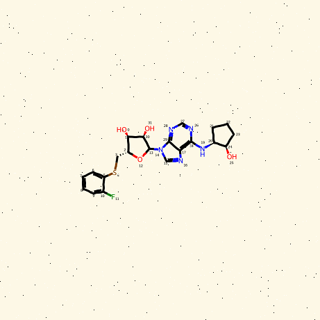 O[C@@H]1[C@@H](CSc2ccccc2F)OC(n2cnc3c(N[C@H]4CCC[C@H]4O)ncnc32)[C@@H]1O